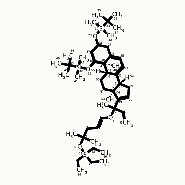 CCC(C)(OC=CCC(C)(C)O[Si](CC)(CC)CC)C1=CC[C@H]2C3=CC=C4CC(O[Si](C)(C)C(C)(C)C)CC(O[Si](C)(C)C(C)(C)C)[C@]4(C)[C@H]3CC[C@]12C